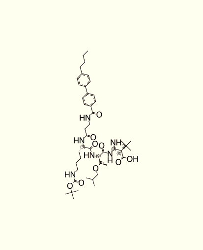 CCCCc1ccc(-c2ccc(C(=O)NCCC(=O)N[C@@H](CCCCNC(=O)OC(C)(C)C)C(=O)N[C@H](C(=O)N[C@@H](N)[C@H](C(=O)O)C(C)(C)C)[C@@H](C)OCC(C)C)cc2)cc1